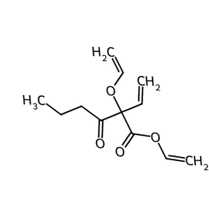 C=COC(=O)C(C=C)(OC=C)C(=O)CCC